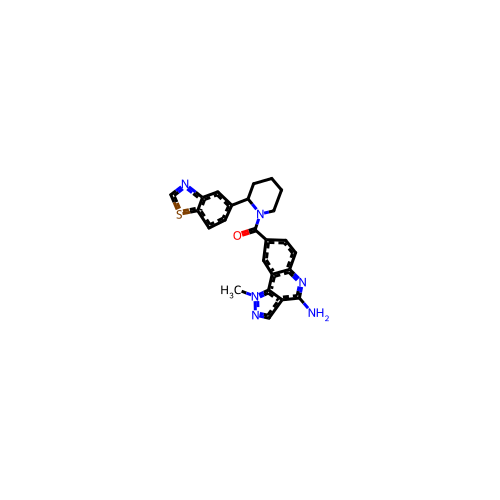 Cn1ncc2c(N)nc3ccc(C(=O)N4CCCCC4c4ccc5scnc5c4)cc3c21